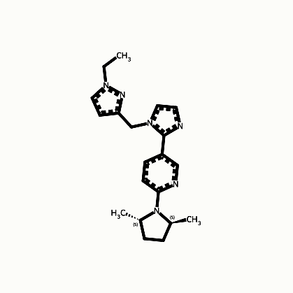 CCn1ccc(Cn2ccnc2-c2ccc(N3[C@@H](C)CC[C@@H]3C)nc2)n1